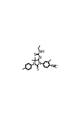 [C-]#[N+]c1ccc(N2C(=S)N(c3ccc(C)cc3)C(C)(C)C2=NC(=S)NCC)cc1C